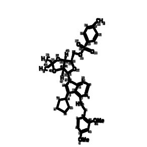 COc1ccc(CNc2ncnc3c2c(C2CCCC2)cn3[C@@H]2O[C@H](COS(=O)(=O)c3ccc(C)cc3)[C@H]3OC(C)(C)O[C@H]32)c(OC)c1